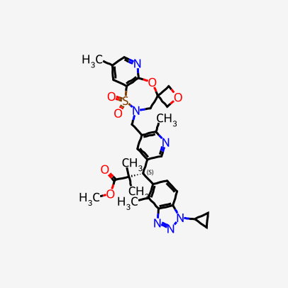 COC(=O)C(C)(C)[C@H](c1cnc(C)c(CN2CC3(COC3)Oc3ncc(C)cc3S2(=O)=O)c1)c1ccc2c(nnn2C2CC2)c1C